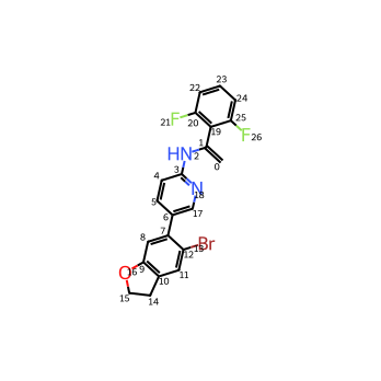 C=C(Nc1ccc(-c2cc3c(cc2Br)CCO3)cn1)c1c(F)cccc1F